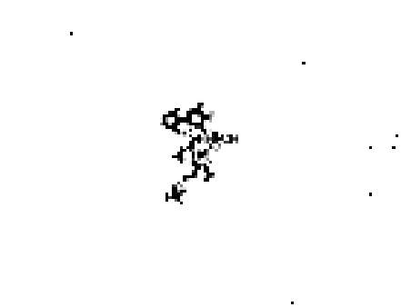 Cc1cc(-c2c(C)cccc2C)cc([C@H](CC(=O)O)NC(=O)[C@H](CC(C)C)n2cc(CCN3CC(C)(F)C3)c(C(C)C)nc2=O)c1F